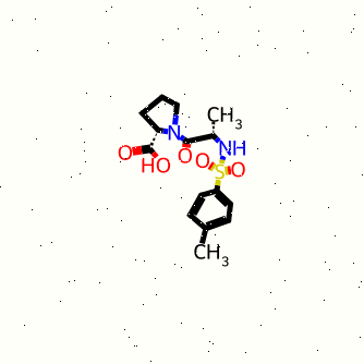 Cc1ccc(S(=O)(=O)N[C@@H](C)C(=O)N2CCC[C@H]2C(=O)O)cc1